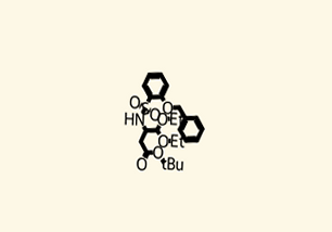 CCOC(OCC)C(CC(=O)OC(C)(C)C)NS(=O)(=O)c1ccccc1OCc1ccccc1